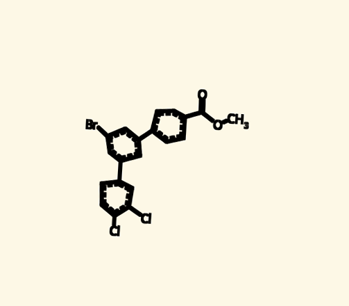 COC(=O)c1ccc(-c2cc(Br)cc(-c3ccc(Cl)c(Cl)c3)c2)cc1